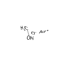 CO.[Au+].[Cl-]